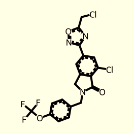 O=C1c2c(Cl)cc(-c3noc(CCl)n3)cc2CN1Cc1ccc(OC(F)(F)F)cc1